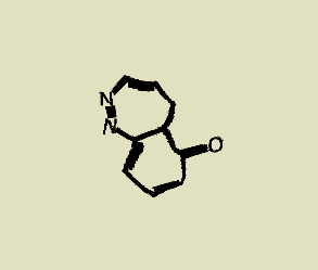 O=C1C=CC=C2N=NC=CCC12